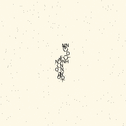 Cc1cc(Nc2ncnc3cc4c(nc23)N2CCN(C(=O)OC(C)(C)C)[C@H](CO4)C2)c(F)cc1Oc1ccn2ncnc2c1